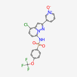 O=S(=O)(Nc1ccc(Cl)c2cc(-c3ccc[n+]([O-])c3)nn12)c1ccc(OC(F)(F)F)cc1